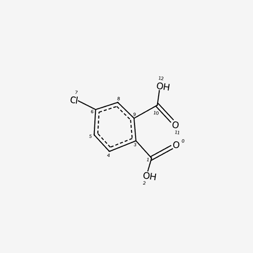 O=C(O)c1ccc(Cl)cc1C(=O)O